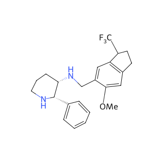 COc1cc2c(cc1CN[C@H]1CCCN[C@H]1c1ccccc1)C(C(F)(F)F)CC2